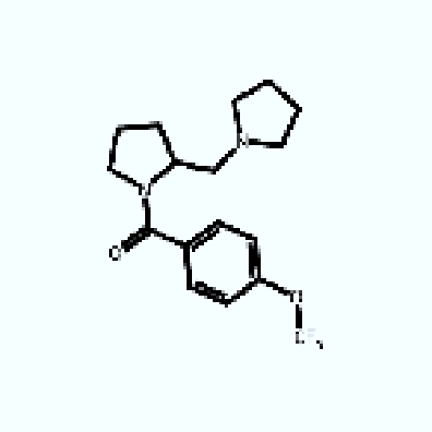 O=C(c1ccc(OC(F)(F)F)cc1)N1CCCC1CN1CCCC1